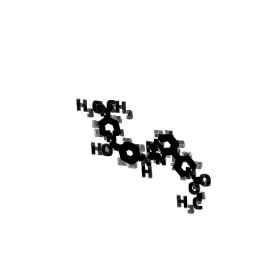 CCOC(=O)N1CC=C(c2cccn3nc(Nc4ccc(C(O)N5CCC(N(C)C)CC5)cc4)nc23)CC1